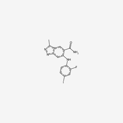 Cc1nnc2cc(Nc3ccc(I)cc3F)c(C(N)=O)cn12